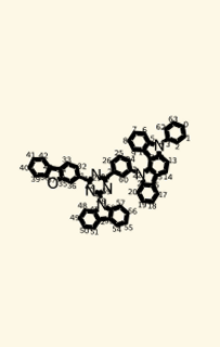 c1ccc(-n2c3ccccc3c3c2ccc2c4ccccc4n(-c4cccc(-c5nc(-c6ccc7c(c6)oc6ccccc67)nc(-n6c7ccccc7c7ccccc76)n5)c4)c23)cc1